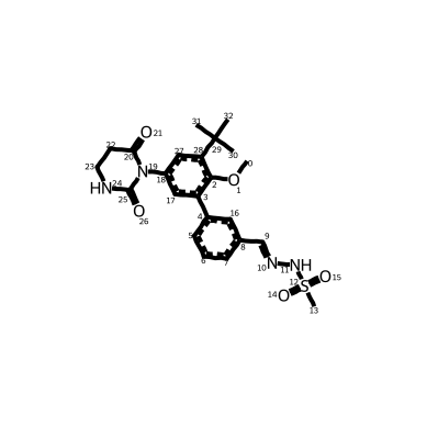 COc1c(-c2cccc(/C=N/NS(C)(=O)=O)c2)cc(N2C(=O)CCNC2=O)cc1C(C)(C)C